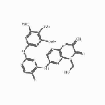 C=C1Oc2ccc(Nc3nc(Nc4cc(OC)c(OC)c(OC)c4)ncc3F)nc2N(CO)C1=O